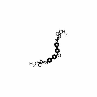 C=CC(=O)OCCOc1ccc(-c2ccc(C(=O)c3ccc(-c4ccc(OCCOC(=O)C=C)cc4)cc3)cc2)cc1